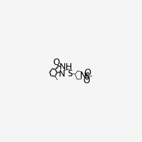 Cc1cccc2c(=O)[nH]c(CSC3CCN(S(C)(=O)=O)CC3)nc12